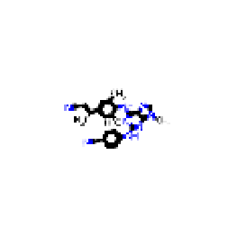 C/C(=C\C#N)c1cc(C)c(Nc2nc(Nc3ccc(C#N)cc3)nc3c2ncn3C)c(C)c1